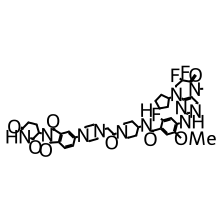 COc1cc(C(=O)NC2CCN(C(=O)CN3CCN(c4ccc5c(c4)C(=O)N(C4CCC(=O)NC4=O)C5=O)CC3)CC2)c(F)cc1Nc1ncc2c(n1)N(C1CCCC1)CC(F)(F)C(=O)N2C